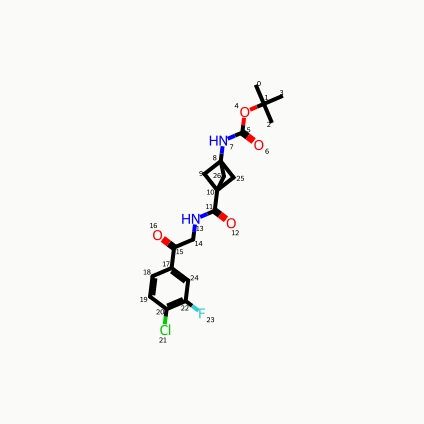 CC(C)(C)OC(=O)NC12CC(C(=O)NCC(=O)c3ccc(Cl)c(F)c3)(C1)C2